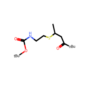 CCCCC(=O)CC(C)SCCNC(=O)OC(C)(C)C